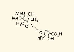 CCCc1c(OCCCCCC(=O)c2c(C)c(C)c(OC)c(OC)c2C)ccc(C(=O)O)c1O